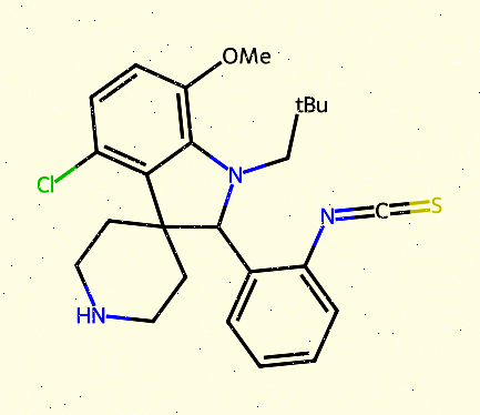 COc1ccc(Cl)c2c1N(CC(C)(C)C)C(c1ccccc1N=C=S)C21CCNCC1